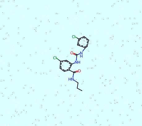 CCCNC(=O)c1ccc(Cl)cc1NC(=O)Nc1cccc(Cl)c1